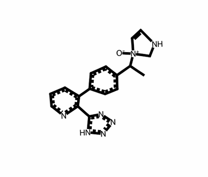 CC(c1ccc(-c2cccnc2-c2nnn[nH]2)cc1)[N+]1([O-])C=CNC1